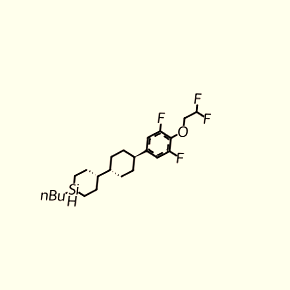 CCCC[Si@H]1CC[C@H]([C@H]2CC[C@H](c3cc(F)c(OCC(F)F)c(F)c3)CC2)CC1